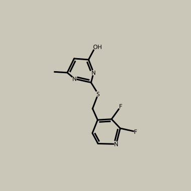 Cc1cc(O)nc(SCc2ccnc(F)c2F)n1